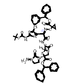 CC(C)(C)OC(=O)Nc1nc(/C(=N/OC2(C(=O)OC(c3ccccc3)c3ccccc3)CC2)C(=O)N[C@@H]2C(=O)N3C[C@@](C(=O)OC(c4ccccc4)c4ccccc4)(N4CCN(N)C4=O)S[C@H]23)c(Cl)s1